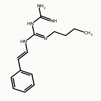 CCCCN=C(NC=Cc1ccccc1)NC(=N)N